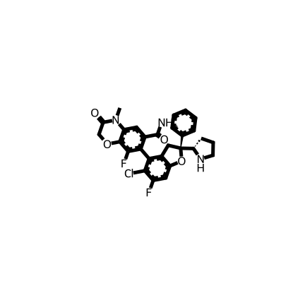 CN1C(=O)COc2c1cc(C(N)=O)c(-c1c(Cl)c(F)cc3c1C[C@](c1ccccc1)([C@@H]1CCCN1)O3)c2F